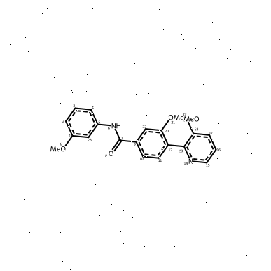 COc1cccc(NC(=O)c2ccc(-c3ncccc3OC)c(OC)c2)c1